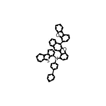 c1ccc(-c2ccc(N(c3cccc4c3sc3ccccc34)c3cccc4oc5c(-c6cccc7c6oc6ccccc67)c6ccccc6cc5c34)cc2)cc1